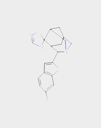 Fc1ccc2cc(C3C4CC5CC(CN3C5)C43NC=NO3)sc2c1